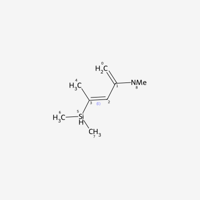 C=C(/C=C(\C)[SiH](C)C)NC